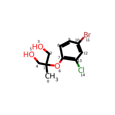 CC(CO)(CO)Oc1ccc(Br)cc1Cl